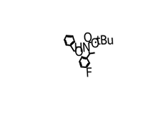 CC(NC(=O)OC(C)(C)C)c1cc(F)ccc1OCc1ccccc1